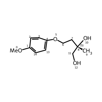 COc1ccc(OCC[C@](C)(O)CO)cc1